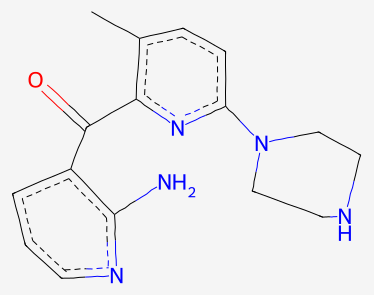 Cc1ccc(N2CCNCC2)nc1C(=O)c1cccnc1N